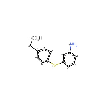 Nc1cccc(Sc2ccc(CC(=O)O)cc2)c1